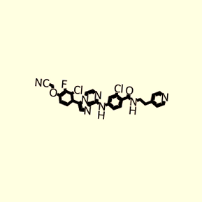 N#CCOC1=C(F)C(Cl)C(c2cnc3c(Nc4ccc(C(=O)NCCc5ccncc5)c(Cl)c4)nccn23)C=C1